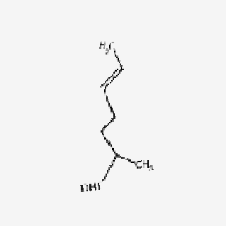 CC=CCCC(C)C=O